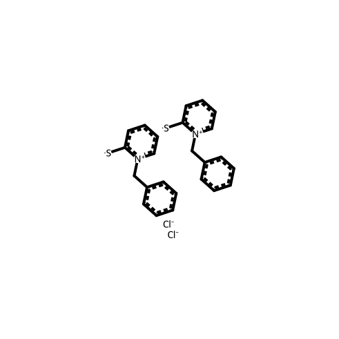 [Cl-].[Cl-].[S]c1cccc[n+]1Cc1ccccc1.[S]c1cccc[n+]1Cc1ccccc1